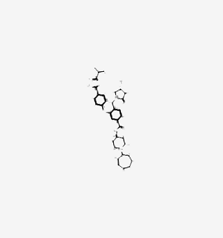 CC(C)c1nnc(-c2ccc(Oc3cc(C(=O)NC4CCN(C5CCCCCC5)CC4)ccc3CN3C[C@@H](C)CC3=O)cc2)s1